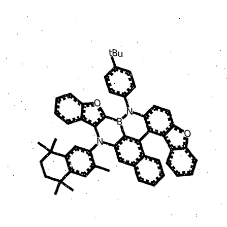 Cc1cc2c(cc1N1c3cc4ccccc4c4c3B(c3oc5ccccc5c31)N(c1ccc(C(C)(C)C)cc1)c1ccc3oc5ccccc5c3c1-4)C(C)(C)CCC2(C)C